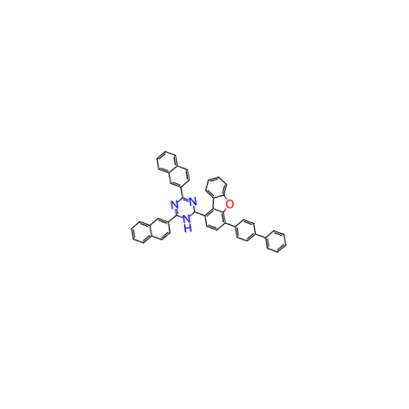 c1ccc(-c2ccc(-c3ccc(C4N=C(c5ccc6ccccc6c5)N=C(c5ccc6ccccc6c5)N4)c4c3oc3ccccc34)cc2)cc1